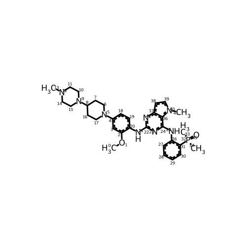 COc1cc(N2CCC(N3CCN(C)CC3)CC2)ccc1Nc1nc(Nc2ccccc2P(C)(C)=O)c2c(ccn2C)n1